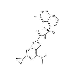 Cc1ccc2cccc(S(=O)(=O)NC(=O)c3cc4c(N(C)C)cc(C5CC5)cc4o3)c2n1